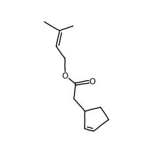 CC(C)=CCOC(=O)CC1C=CCC1